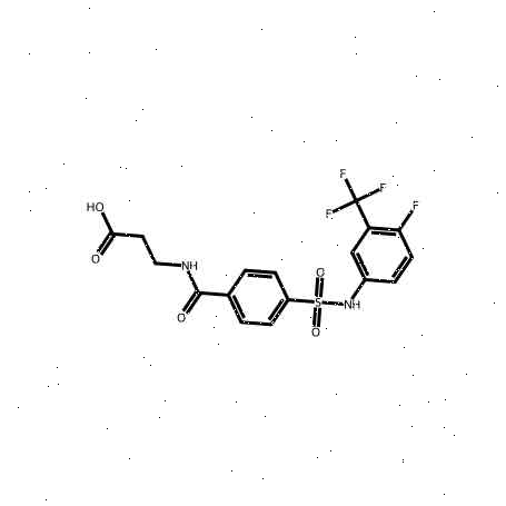 O=C(O)CCNC(=O)c1ccc(S(=O)(=O)Nc2ccc(F)c(C(F)(F)F)c2)cc1